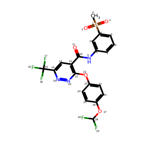 CS(=O)(=O)c1cccc(NC(=O)c2cc(C(F)(F)F)nnc2Oc2ccc(OC(F)F)cc2)c1